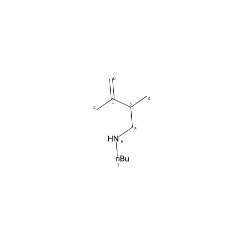 C=C(C)C(C)CNCCCC